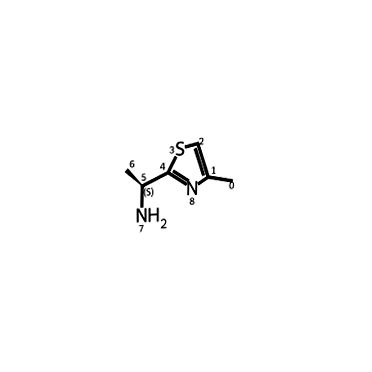 Cc1csc([C@H](C)N)n1